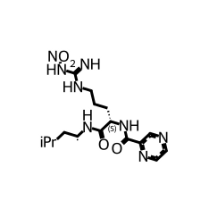 CC(C)C[CH]NC(=O)[C@H](CCCNC(=N)N[N+](=O)[O-])NC(=O)c1cnccn1